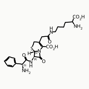 NC(CCCCNC(=O)CC1=C(C(=O)O)N2C(=O)[C@@H](NC(=O)[C@@H](N)c3ccccc3)[C@@H]2SC1)C(=O)O